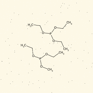 CCOP(OC)OCC.CCOP(OCC)OCC